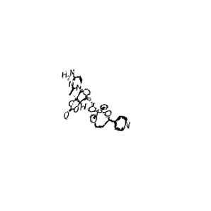 C=C1N=C(N)C=CN1[C@@H]1O[C@H](COP2(=O)OCCC(c3ccncc3)O2)[C@H]2OC(=O)O[C@]21C